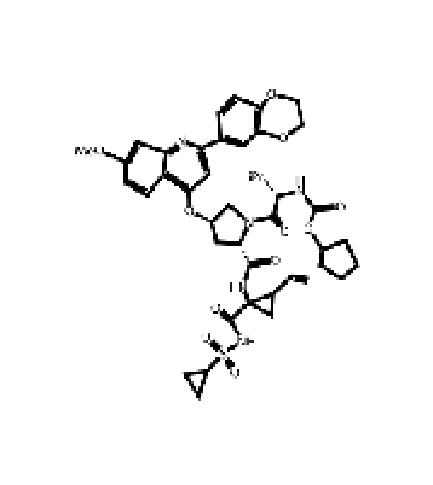 C=CC1CC1(NC(=O)[C@@H]1C[C@@H](Oc2cc(-c3ccc4c(c3)OCCO4)nc3cc(OC)ccc23)CN1C(=O)[C@@H](NC(=O)OC1CCCC1)C(C)C)C(=O)NS(=O)(=O)C1CC1